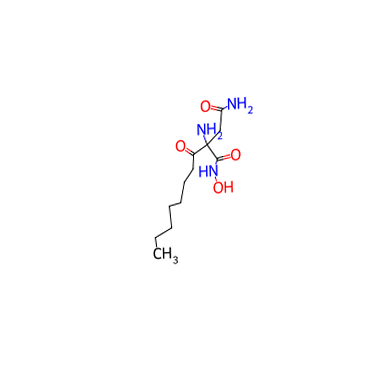 CCCCCCCC(=O)C(N)(CC(N)=O)C(=O)NO